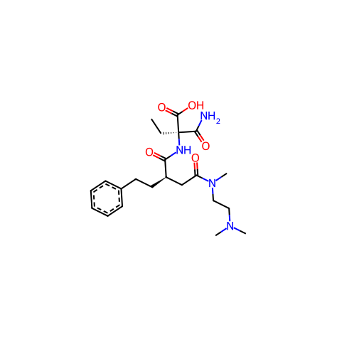 CC[C@@](NC(=O)[C@H](CCc1ccccc1)CC(=O)N(C)CCN(C)C)(C(N)=O)C(=O)O